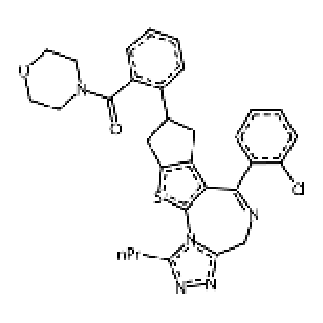 CCCc1nnc2n1-c1sc3c(c1C(c1ccccc1Cl)=NC2)CC(c1ccccc1C(=O)N1CCOCC1)C3